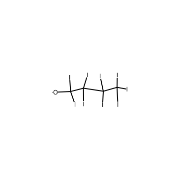 [O]C(I)(I)C(I)(I)C(I)(I)C(I)(I)I